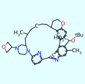 Cc1cc2nc3sc2c(c1C(OC(C)(C)C)C(=O)O)-c1ccc2c(c1)C(CCCCC(C)CC1CN(C4COC4)CCN1c1cccc-3n1)CCO2